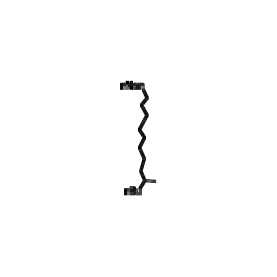 [CH2]CCCCCCCCCCCCCCCCC(C)CCC[CH2]